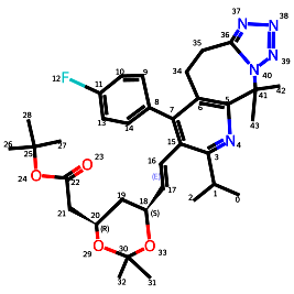 CC(C)c1nc2c(c(-c3ccc(F)cc3)c1/C=C/[C@@H]1C[C@H](CC(=O)OC(C)(C)C)OC(C)(C)O1)CCc1nnnn1C2(C)C